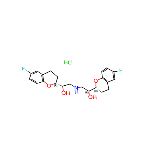 Cl.OC(CNC[C@@H](O)[C@H]1CCc2cc(F)ccc2O1)[C@H]1CCc2cc(F)ccc2O1